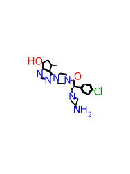 C[C@@H]1C[C@@H](O)c2ncnc(N3CCN(C(=O)[C@H](CN4CC(N)C4)c4ccc(Cl)cc4)CC3)c21